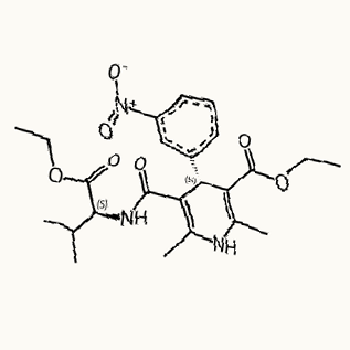 CCOC(=O)C1=C(C)NC(C)=C(C(=O)N[C@H](C(=O)OCC)C(C)C)[C@@H]1c1cccc([N+](=O)[O-])c1